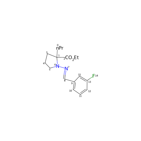 CCCC1(C(=O)OCC)CCCN1N=Cc1cccc(F)c1